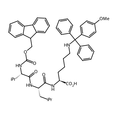 COc1ccc(C(NCCCC[C@H](NC(=O)[C@H](CC(C)C)NC(=O)[C@@H](NC(=O)OCC2c3ccccc3-c3ccccc32)C(C)C)C(=O)O)(c2ccccc2)c2ccccc2)cc1